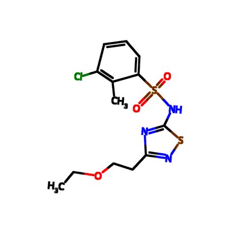 CCOCCc1nsc(NS(=O)(=O)c2cccc(Cl)c2C)n1